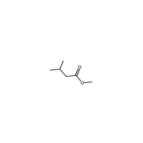 COC(=O)CC(C)C